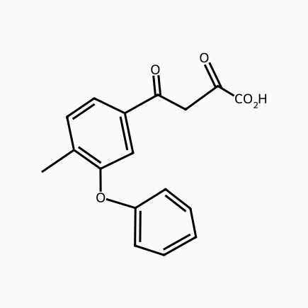 Cc1ccc(C(=O)CC(=O)C(=O)O)cc1Oc1ccccc1